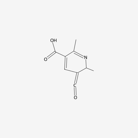 CC1=NC(C)C(=C=O)C=C1C(=O)O